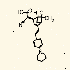 CC1(C)C2CC1/C(=C(/C#N)C(=O)O)C=C2/C=C/c1ccc(N2CCCCC2)cc1